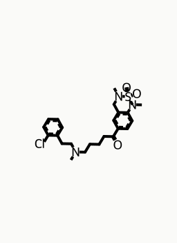 CN(CCCCC(=O)c1ccc2c(c1)CN(C)S(=O)(=O)N2C)CCc1ccccc1Cl